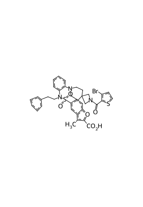 Cc1c(C(=O)O)oc2ccc(S(=O)(=O)N(CCc3ccccc3)c3ccccc3N3CCC4(CC3)CN(C(=O)c3sccc3Br)C4)cc12